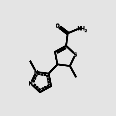 CC1SC(C(N)=O)=CC1c1ccnn1C